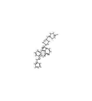 CN1CCN(CC2CCC(c3nc(-c4cccc(OCc5ccccc5)c4)c4c(N)nccn34)CC2)CC1